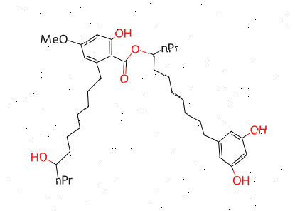 CCCC(O)CCCCCCCc1cc(OC)cc(O)c1C(=O)OC(CCC)CCCCCCCc1cc(O)cc(O)c1